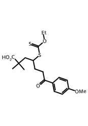 CCOC(=S)SC(CCC(=O)c1ccc(OC)cc1)CC(C)(C)C(=O)O